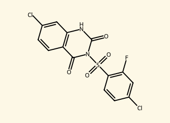 O=c1[nH]c2cc(Cl)ccc2c(=O)n1S(=O)(=O)c1ccc(Cl)cc1F